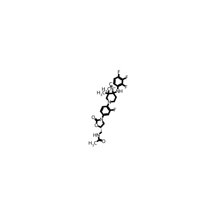 [C-]#[N+]C1(Nc2ccc(F)c(F)c2F)CCN(c2ccc(N3C[C@H](CNC(C)=O)OC3=O)cc2F)CC1(C)C